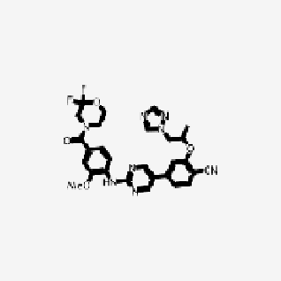 COc1cc(C(=O)N2CCOC(F)(F)C2)ccc1Nc1ncc(-c2ccc(C#N)c(OC(C)Cn3cncn3)c2)cn1